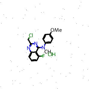 COc1ccc(N(C)c2nc(CCl)nc3cccc(F)c23)cc1.Cl